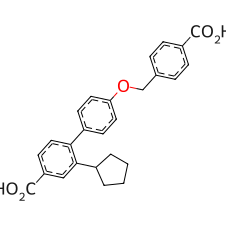 O=C(O)c1ccc(COc2ccc(-c3ccc(C(=O)O)cc3C3CCCC3)cc2)cc1